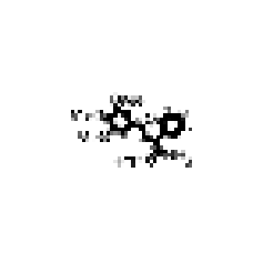 COc1cc(C(=O)CC(C(N)=O)c2ccccc2)cc(OC)c1OC.Cl